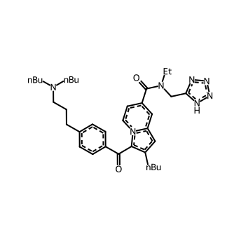 CCCCc1cc2cc(C(=O)N(CC)Cc3nnn[nH]3)ccn2c1C(=O)c1ccc(CCCN(CCCC)CCCC)cc1